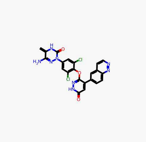 C=C1NC(=O)N(c2cc(Cl)c(Oc3n[nH]c(=O)cc3-c3ccc4nnccc4c3)c(Cl)c2)N=C1N